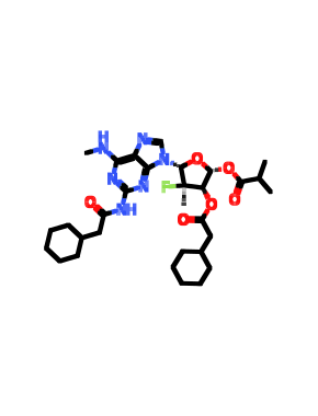 CNc1nc(NC(=O)CC2CCCCC2)nc2c1ncn2[C@@H]1O[C@H](OC(=O)C(C)C)[C@@H](OC(=O)CC2CCCCC2)[C@@]1(C)F